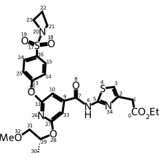 CCOC(=O)Cc1csc(NC(=O)c2cc(Oc3ccc(S(=O)(=O)N4CCC4)cc3)nc(O[C@H](C)COC)c2)n1